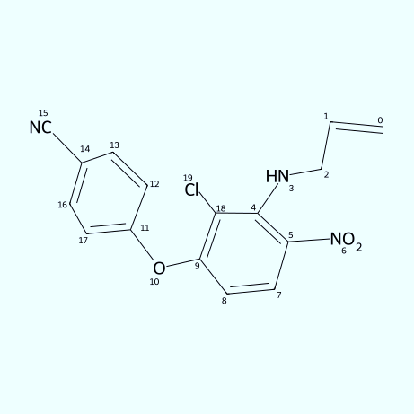 C=CCNc1c([N+](=O)[O-])ccc(Oc2ccc(C#N)cc2)c1Cl